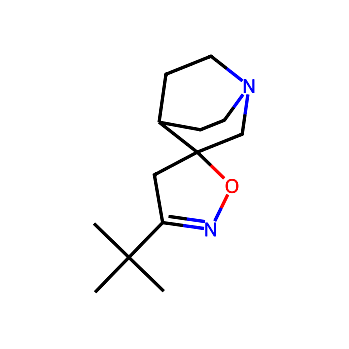 CC(C)(C)C1=NOC2(C1)CN1CCC2CC1